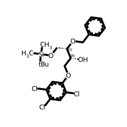 CC(C)(C)[Si](C)(C)OC[C@H](OCc1ccccc1)[C@H](O)COc1cc(Cl)c(Cl)cc1Cl